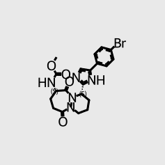 COC(=O)N[C@H]1CCC(=O)N2CCC[C@@H](c3ncc(-c4ccc(Br)cc4)[nH]3)N2C1=O